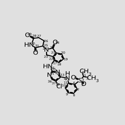 CC(C)S(=O)(=O)c1ccccc1Nc1nc(Nc2cccc3c2CN(C2CCC(=O)NC2=O)C3=O)ncc1Cl